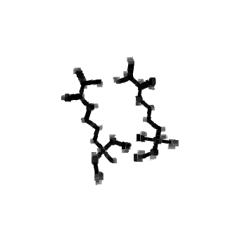 C=C(C)C(=O)OCCC[Si](C)(OCC)OCC.C=C(C)C(=O)OCCC[Si](CC)(CC)OCC